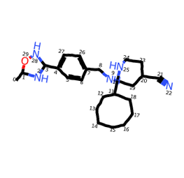 CC1NC(c2ccc(CNC3(C4CCCCCCC4)CC(C#N)CCN3)cc2)NO1